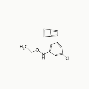 CCONc1cccc(Cl)c1.c1cc2ccc1-2